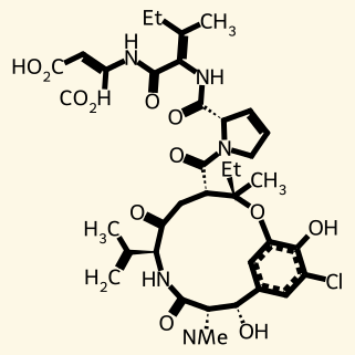 C=C(C)[C@@H]1NC(=O)[C@@H](NC)[C@@H](O)c2cc(Cl)c(O)c(c2)O[C@](C)(CC)[C@@H](C(=O)N2CC=C[C@H]2C(=O)N/C(C(=O)N/C(=C/C(=O)O)C(=O)O)=C(\C)CC)CC1=O